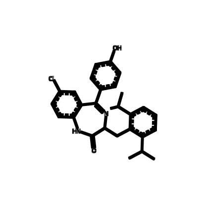 CC(C)c1cccc(C(C)C)c1CC1N=C(c2ccc(O)cc2)c2cc(Cl)ccc2NC1=O